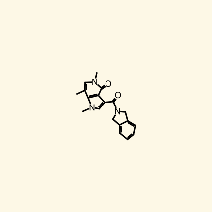 Cc1cn(C)c(=O)c2c(C(=O)N3Cc4ccccc4C3)cn(C)c12